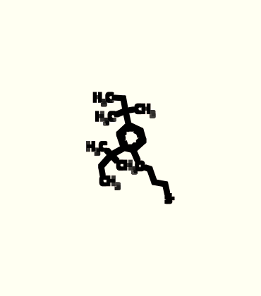 CCC(C)(C)c1ccc(OCCC[S])c(C(C)(C)CC)c1